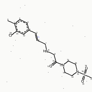 Cc1ccc(/C=C/CNCC(=O)N2CCN(S(C)(=O)=O)CC2)cc1Cl